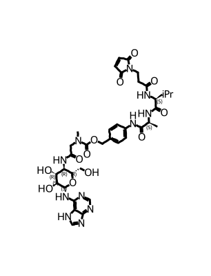 CC(C)[C@H](NC(=O)CCN1C(=O)C=CC1=O)C(=O)N[C@@H](C)C(=O)Nc1ccc(COC(=O)N(C)CC(=O)N[C@@H]2[C@@H](O)[C@H](O)[C@@H](Nc3ncnc4nc[nH]c34)O[C@H]2CO)cc1